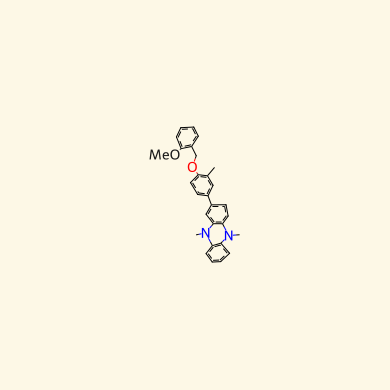 COc1ccccc1COc1ccc(-c2ccc3c(c2)N(C)c2ccccc2N3C)cc1C